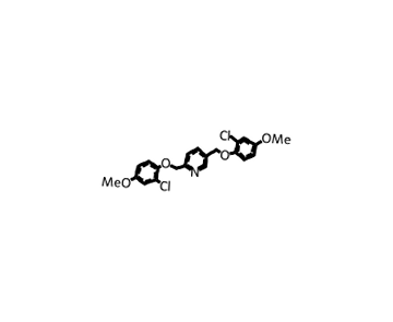 COc1ccc(OCc2ccc(COc3ccc(OC)cc3Cl)nc2)c(Cl)c1